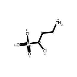 CCCC(Cl)S(=O)(=O)Cl